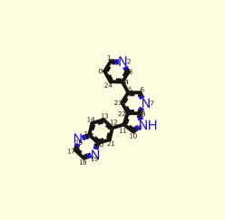 c1cncc(-c2cnc3[nH]cc(-c4ccc5nccnc5c4)c3c2)c1